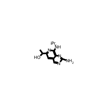 CC(C)Nc1nc(C(C)O)cc2cnc(N)nc12